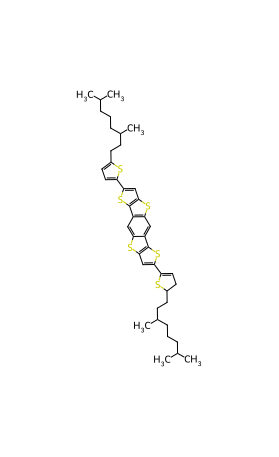 CC(C)CCCC(C)CCc1ccc(-c2cc3sc4cc5c(cc4c3s2)sc2cc(C3=CCC(CCC(C)CCCC(C)C)S3)sc25)s1